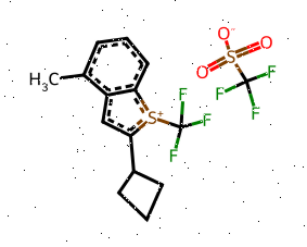 Cc1cccc2c1cc(C1CCC1)[s+]2C(F)(F)F.O=S(=O)([O-])C(F)(F)F